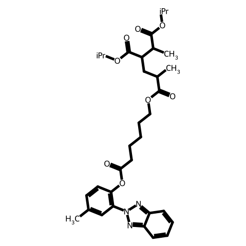 Cc1ccc(OC(=O)CCCCCOC(=O)C(C)CC(C(=O)OC(C)C)C(C)C(=O)OC(C)C)c(-n2nc3ccccc3n2)c1